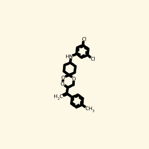 C=C(c1ccc(C)cc1)C1COC2(CCC(Nc3cc(Cl)cc(Cl)c3)CC2)OO1